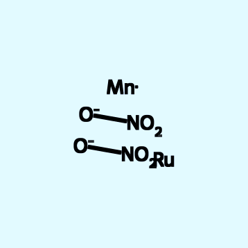 O=[N+]([O-])[O-].O=[N+]([O-])[O-].[Mn].[Ru]